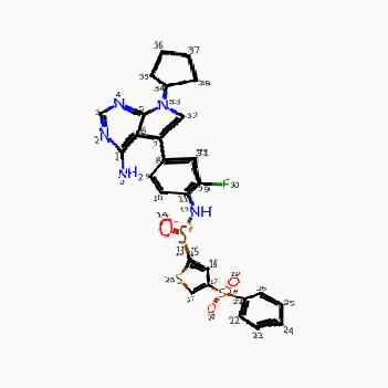 Nc1ncnc2c1c(-c1ccc(N[S+]([O-])c3cc(S(=O)(=O)c4ccccc4)cs3)c(F)c1)cn2C1CCCC1